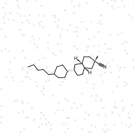 CCCCCC1CCC([C@H]2CC[C@H]3C[C@@](C)(C#N)CC[C@H]3C2)CC1